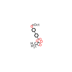 CCCCCCCCOc1ccc(-c2ccc(C(=O)O[C@H]3C(=O)OCC3(C)C)cc2)cc1